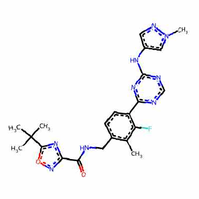 Cc1c(CNC(=O)c2noc(C(C)(C)C)n2)ccc(-c2ncnc(Nc3cnn(C)c3)n2)c1F